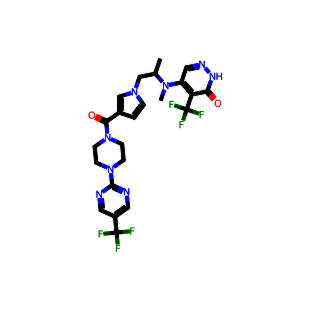 CC(Cn1ccc(C(=O)N2CCN(c3ncc(C(F)(F)F)cn3)CC2)c1)N(C)c1cn[nH]c(=O)c1C(F)(F)F